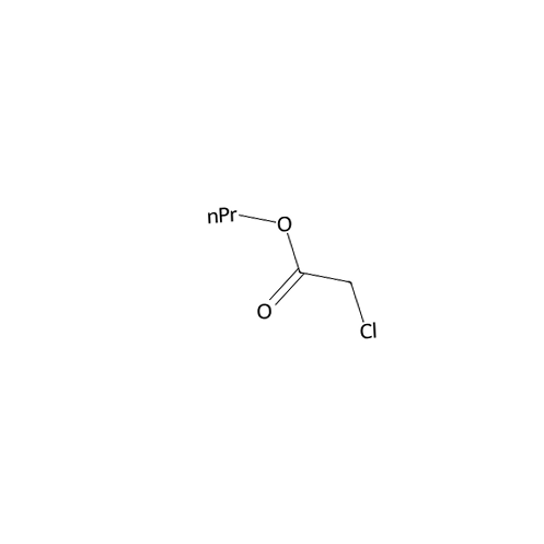 C[CH]COC(=O)CCl